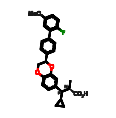 COc1ccc(F)c(-c2ccc(C3COc4ccc([C@H](C5CC5)[C@H](C)C(=O)O)cc4O3)cc2)c1